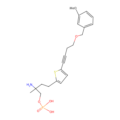 COc1cccc(COCCC#Cc2ccc(CCC(C)(N)COP(=O)(O)O)s2)c1